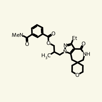 CCc1nn(CC(C)COC(=O)c2cccc(C(=O)NC)c2)c2c1C(=O)NCC1(CCOCC1)C2